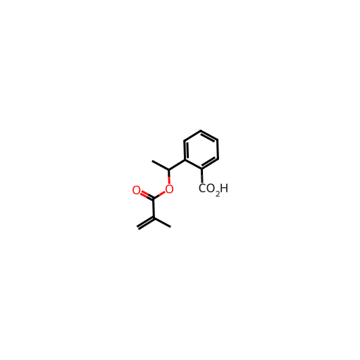 C=C(C)C(=O)OC(C)c1ccccc1C(=O)O